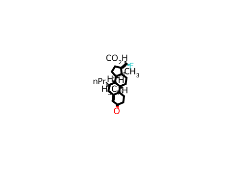 CCC[C@@H]1CC2=CC(=O)CC[C@]2(C)[C@H]2CC[C@]3(C)C(=C(F)C(=O)O)CC[C@H]3[C@H]12